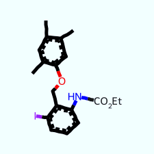 CCOC(=O)Nc1cccc(I)c1COc1cc(C)c(C)cc1C